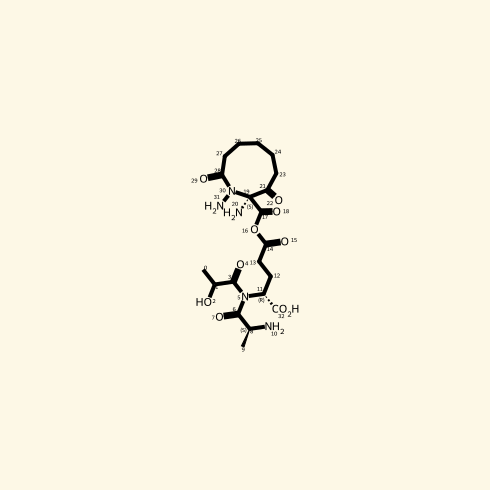 CC(O)C(=O)N(C(=O)[C@H](C)N)[C@H](CCC(=O)OC(=O)[C@]1(N)C(=O)CCCCCC(=O)N1N)C(=O)O